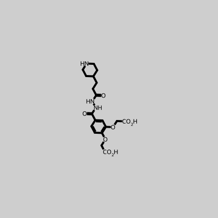 O=C(O)COc1ccc(C(=O)NNC(=O)CCC2CCNCC2)cc1OCC(=O)O